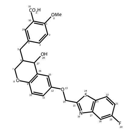 COc1ccc(CC2COc3ccc(OCc4nc5cc(F)ccc5s4)cc3C2O)cc1C(=O)O